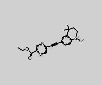 CCOC(=O)c1cnc(C#Cc2ccc3c(c2)C(C)(C)CC[S+]3[O-])cn1